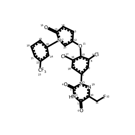 O=c1[nH]c(=O)n(-c2cc(Cl)c(Oc3ccc(=O)n(-c4cccc(C(F)(F)F)c4)c3)c(Cl)c2)nc1CF